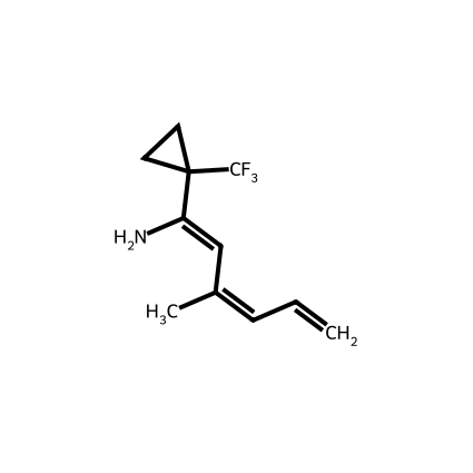 C=C/C=C(C)\C=C(/N)C1(C(F)(F)F)CC1